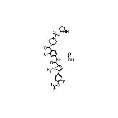 Cn1c(-c2ccc(OC(F)F)c(F)c2)cnc1C(=O)Nc1ccc(C(=O)N2CCN(C(=O)C[C@@H]3CCCN3)CC2)c(Cl)c1.O=CO